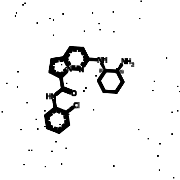 N[C@H]1CCCC[C@H]1Nc1ccc2ccc(C(=O)Nc3ccccc3Cl)n2n1